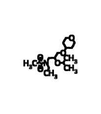 CCN(CC(COC1CCOCC1)OC(C)C)S(C)(=O)=O